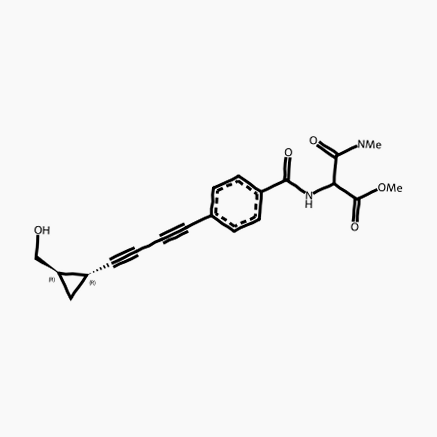 CNC(=O)C(NC(=O)c1ccc(C#CC#C[C@@H]2C[C@H]2CO)cc1)C(=O)OC